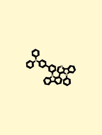 c1ccc(N(c2ccccc2)c2ccc(-c3cccc(-n4c5ccccc5c5cccc(-c6ccnc7c8ccccc8n(-c8ccccc8)c67)c54)c3)cc2)cc1